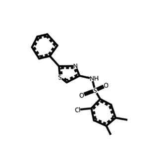 Cc1cc(Cl)c(S(=O)(=O)Nc2csc(-c3ccccc3)n2)cc1C